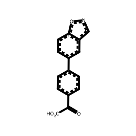 O=C(O)C(=O)c1ccc(-c2ccc3oncc3c2)cc1